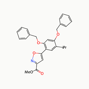 COC(=O)c1cc(-c2cc(C(C)C)c(OCc3ccccc3)cc2OCc2ccccc2)on1